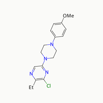 CCc1ncc(N2CCN(c3ccc(OC)cc3)CC2)nc1Cl